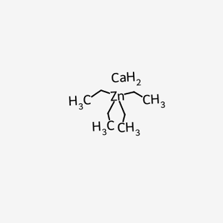 C[CH2][Zn]([CH2]C)([CH2]C)[CH2]C.[CaH2]